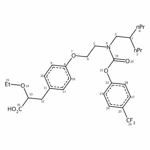 CCCC(CCC)CN(CCOc1ccc(CC(OCC)C(=O)O)cc1)C(=O)Oc1ccc(C(F)(F)F)cc1